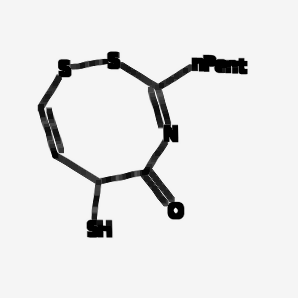 CCCCC/C1=N/C(=O)C(S)/C=C\SS1